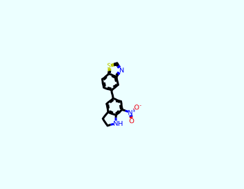 O=[N+]([O-])c1cc(-c2ccc3scnc3c2)cc2c1NCC2